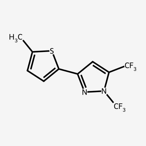 Cc1ccc(-c2cc(C(F)(F)F)n(C(F)(F)F)n2)s1